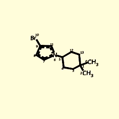 CC1(C)CCC(n2ccc(Br)c2)CC1